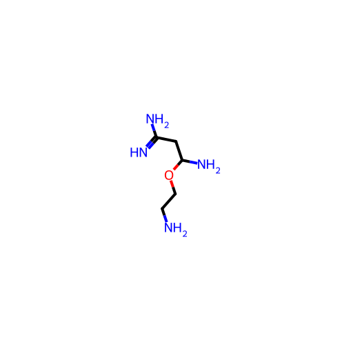 N=C(N)CC(N)OCCN